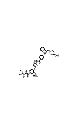 CCC(CC)NC(=O)Nc1ccc(Oc2cnc(NC(=O)c3ccc(-n4cc(CN5CCC(O)CC5)c5ccccc54)cc3)s2)c(CNC)c1